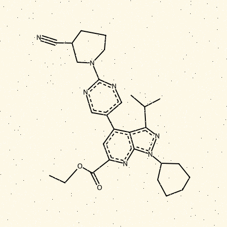 CCOC(=O)c1cc(-c2cnc(N3CCCC(C#N)C3)nc2)c2c(C(C)C)nn(C3CCCCC3)c2n1